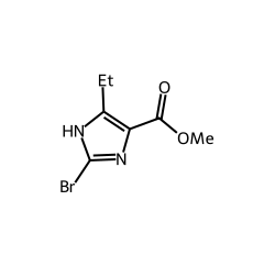 CCc1[nH]c(Br)nc1C(=O)OC